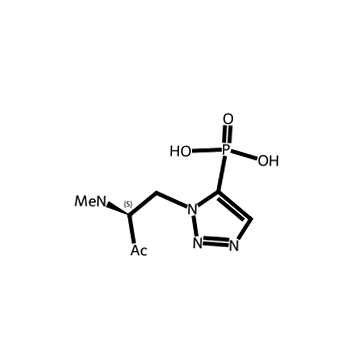 CN[C@@H](Cn1nncc1P(=O)(O)O)C(C)=O